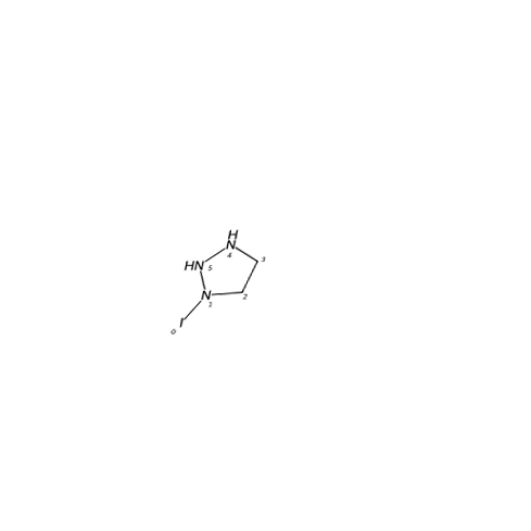 IN1CCNN1